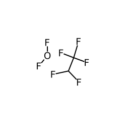 FC(F)C(F)(F)F.FOF